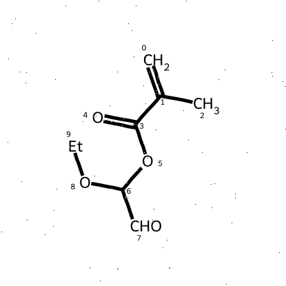 C=C(C)C(=O)OC(C=O)OCC